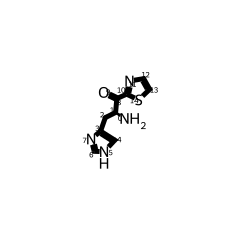 N[C@@H](Cc1c[nH]cn1)C(=O)c1nccs1